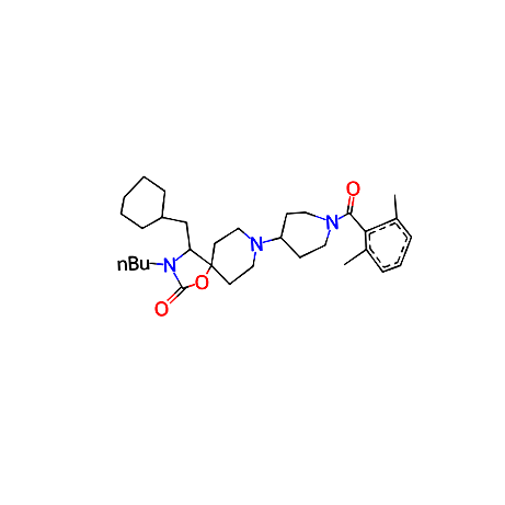 CCCCN1C(=O)OC2(CCN(C3CCN(C(=O)c4c(C)cccc4C)CC3)CC2)C1CC1CCCCC1